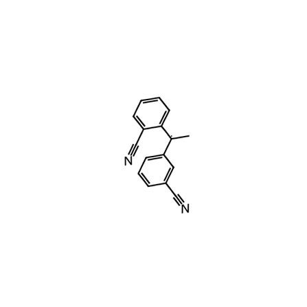 C[C](c1cccc(C#N)c1)c1ccccc1C#N